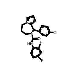 O=C(Nc1ccc(F)cc1F)N1CCCn2cccc2C1c1ccc(Cl)cc1